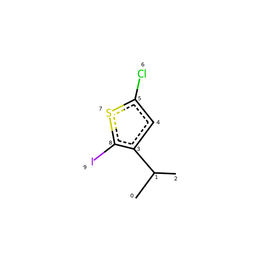 CC(C)c1cc(Cl)sc1I